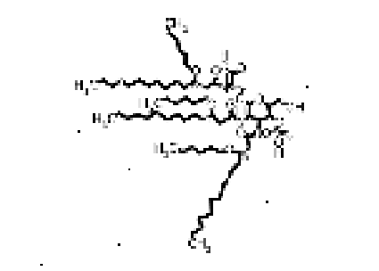 CCCCCCCCCCC[C@H](CC(=O)NC1C(OC[C@H](NC(=O)C[C@@H](CCCCCCCCCCC)OCCCCCC)C(=O)O)OC(CO)C(OP(=O)(O)O)C1OC(=O)C[C@@H](CCCCCCCCCCC)OCCCCCC)OCCCCCC